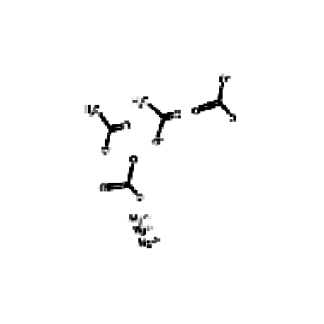 CC(=O)[O-].CC(=O)[O-].O=C([O-])[O-].O=C([O-])[O-].[Mg+2].[Mg+2].[Mg+2]